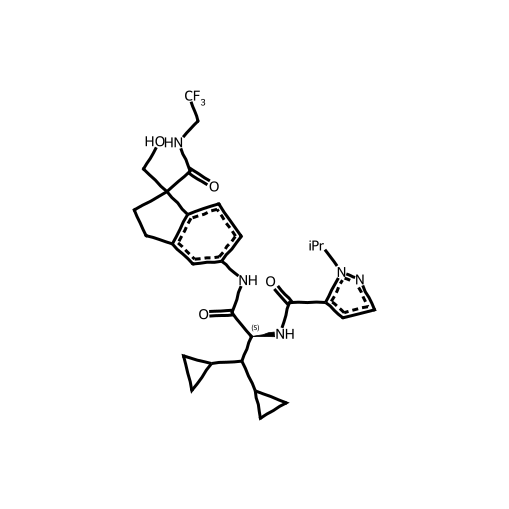 CC(C)n1nccc1C(=O)N[C@H](C(=O)Nc1ccc2c(c1)CCC2(CO)C(=O)NCC(F)(F)F)C(C1CC1)C1CC1